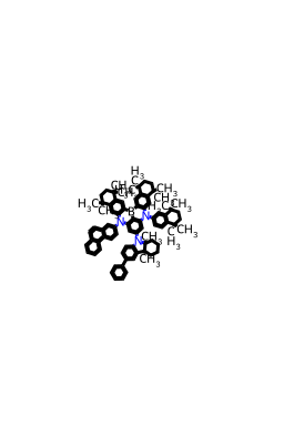 CC1(C)CCC(C)(C)c2cc(N3c4cc5c(cc4B4c6cc7c(cc6N(c6ccc8c(c#cc9ccccc98)c6)c6cc(N8c9ccc(-c%10ccccc%10)cc9C9(C)CCCCC89C)cc3c64)C(C)(C)CCC7(C)C)C(C)(C)CCC5(C)C)ccc21